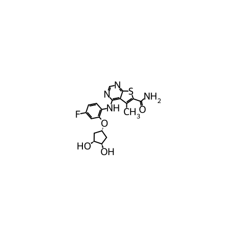 Cc1c(C(N)=O)sc2ncnc(Nc3ccc(F)cc3O[C@@H]3C[C@@H](O)[C@@H](O)C3)c12